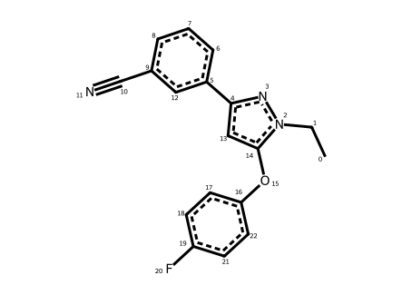 CCn1nc(-c2cccc(C#N)c2)cc1Oc1ccc(F)cc1